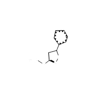 O=C(O)OC1=NOC(c2ccccc2)C1